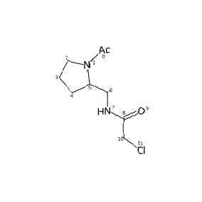 CC(=O)N1CCCC1CNC(=O)CCl